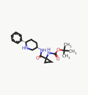 CC(C)(C)OC(=O)NC1(C(=O)N[C@H]2CC[C@@H](c3ccccc3)NC2)CC1